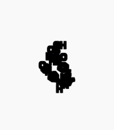 Cc1cnc(Nc2ccc(N3CCOCC3)cc2)nc1Sc1ccc(NC(=O)/C(Br)=C/C(=O)O)cc1